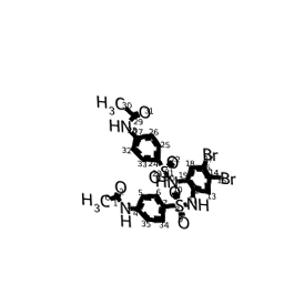 CC(=O)Nc1ccc(S(=O)(=O)Nc2cc(Br)c(Br)cc2NS(=O)(=O)c2ccc(NC(C)=O)cc2)cc1